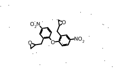 O=[N+]([O-])c1ccc(Oc2ccc([N+](=O)[O-])cc2CC2CO2)c(CC2CO2)c1